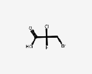 O=C(O)C(F)(Cl)CBr